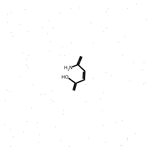 C=C(N)/C=C\C(=C)O